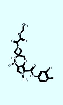 CCNC(=O)C(=O)N1CC2(COc3c(cn(C)c3C(=O)Nc3ccc(F)c(Cl)c3)[S+]([O-])N2)C1